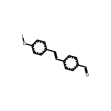 O=Cc1ccc(C=Cc2ccc(OI)cc2)cc1